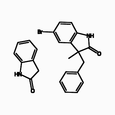 CC1(Cc2ccccc2)C(=O)Nc2ccc(Br)cc21.O=C1Cc2ccccc2N1